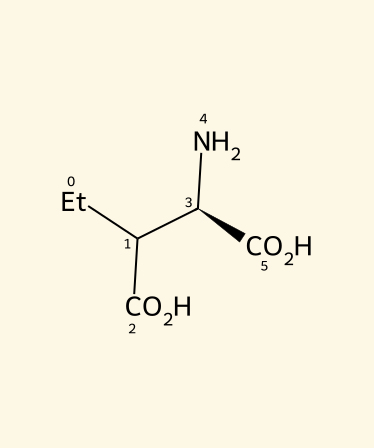 CCC(C(=O)O)[C@@H](N)C(=O)O